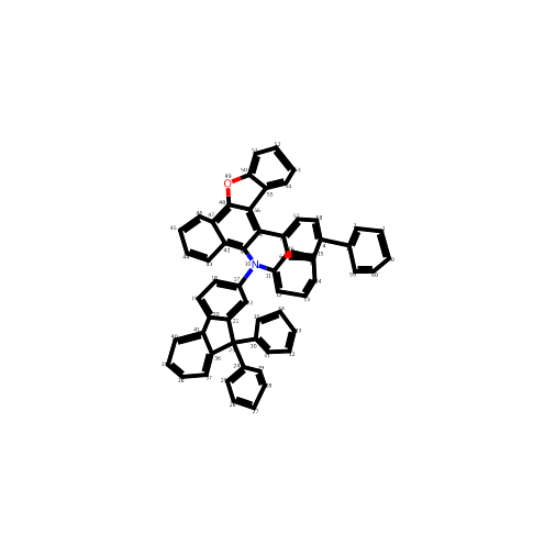 c1ccc(-c2ccc(-c3c(N(c4ccccc4)c4ccc5c(c4)C(c4ccccc4)(c4ccccc4)c4ccccc4-5)c4ccccc4c4oc5ccccc5c34)cc2)cc1